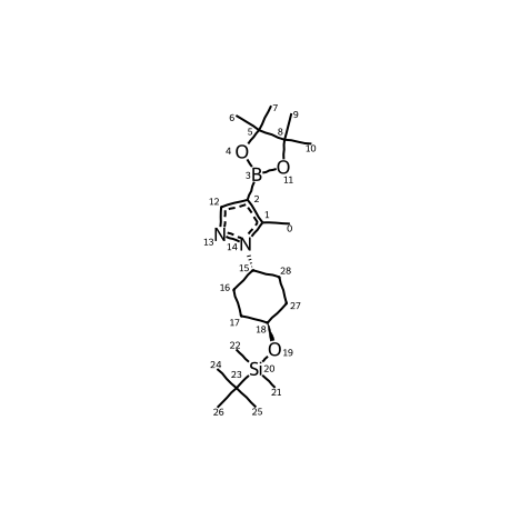 Cc1c(B2OC(C)(C)C(C)(C)O2)cnn1[C@H]1CC[C@H](O[Si](C)(C)C(C)(C)C)CC1